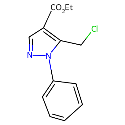 CCOC(=O)c1cnn(-c2ccccc2)c1CCl